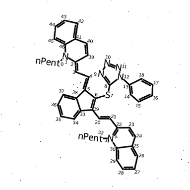 CCCCCN1/C(=C/C=C2C(Sc3nnnn3-c3ccccc3)=C(/C=C/c3ccc4ccccc4[n+]3CCCCC)c3ccccc3/2)C=Cc2ccccc21